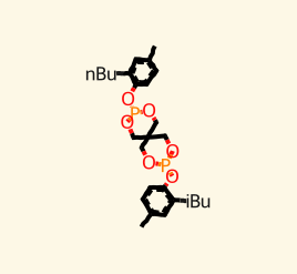 CCCCc1cc(C)ccc1OP1OCC2(CO1)COP(Oc1ccc(C)cc1C(C)CC)OC2